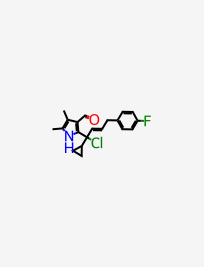 Cc1[nH]c(C(Cl)(C=CCc2ccc(F)cc2)C2CC2)c(C=O)c1C